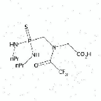 CCCNP(=S)(CN(CC(=O)O)C(=O)C(F)(F)F)NCCC